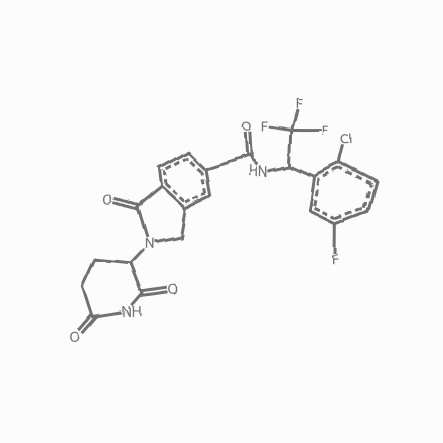 O=C1CCC(N2Cc3cc(C(=O)NC(c4cc(F)ccc4Cl)C(F)(F)F)ccc3C2=O)C(=O)N1